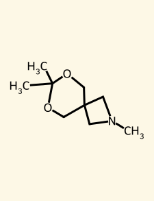 CN1CC2(COC(C)(C)OC2)C1